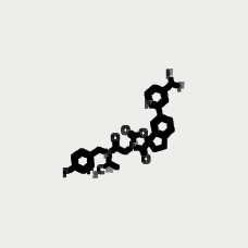 C[C@H](N(Cc1ccc(F)cc1)C(=O)CN1C(=O)OC2(CCc3ccc(-c4cc(C(F)F)ccn4)cc32)C1=O)C(F)(F)F